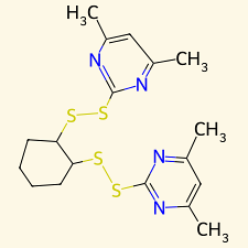 Cc1cc(C)nc(SSC2CCCCC2SSc2nc(C)cc(C)n2)n1